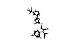 CC(C)N(C(=O)COc1nnc(-c2cccc(C(F)(F)F)c2)s1)c1ccc(F)cc1